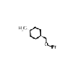 CC(C)OC[C@H]1CC[C@H](C)CC1